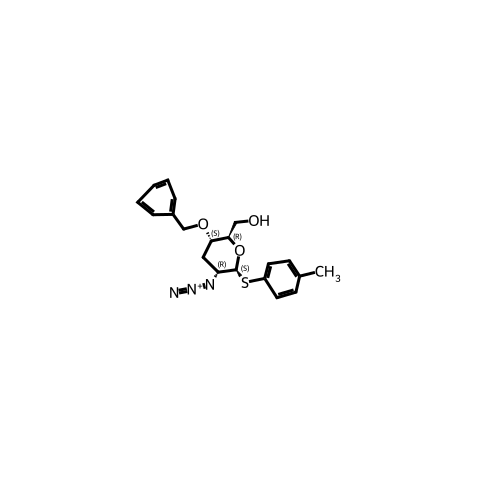 Cc1ccc(S[C@@H]2O[C@H](CO)[C@@H](OCc3ccccc3)C[C@H]2N=[N+]=[N-])cc1